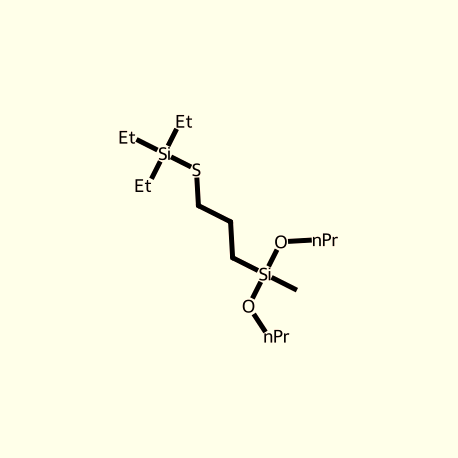 CCCO[Si](C)(CCCS[Si](CC)(CC)CC)OCCC